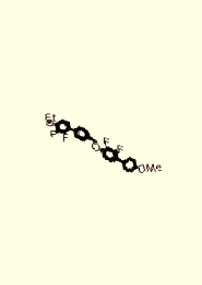 CCOc1ccc(-c2ccc(COc3ccc(C4CCC(OC)CC4)c(F)c3F)cc2)c(F)c1F